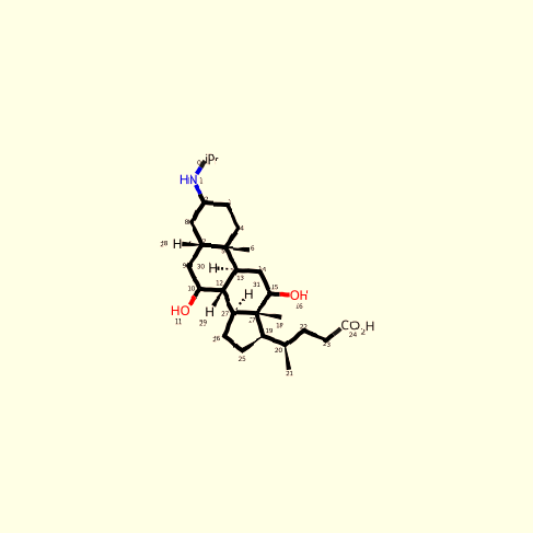 CC(C)NC1CC[C@@]2(C)[C@@H](C1)CC(O)[C@@H]1[C@@H]2CC(O)[C@]2(C)[C@@H]([C@H](C)CCC(=O)O)CC[C@@H]12